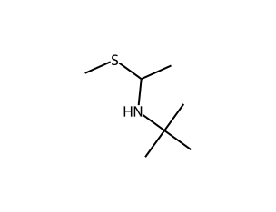 CSC(C)NC(C)(C)C